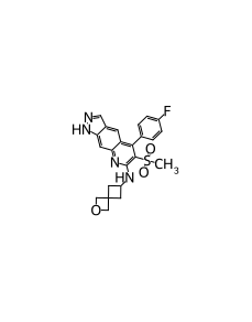 CS(=O)(=O)c1c(NC2CC3(COC3)C2)nc2cc3[nH]ncc3cc2c1-c1ccc(F)cc1